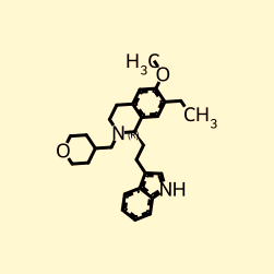 CCc1cc2c(cc1OC)CCN(CC1CCOCC1)[C@@H]2CCc1c[nH]c2ccccc12